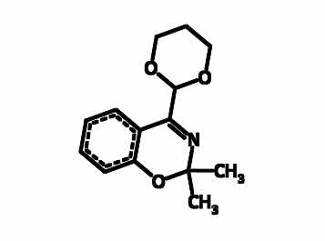 CC1(C)N=C(C2OCCCO2)c2ccccc2O1